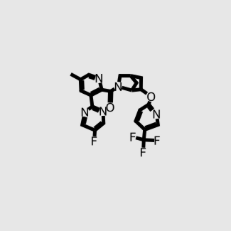 Cc1cnc(C(=O)N2CC3CC(Oc4ccc(C(F)(F)F)cn4)C2C3)c(-c2ncc(F)cn2)c1